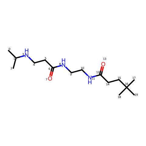 CC(C)NCCC(=O)NCCNC(=O)CCC(C)(C)C